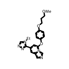 CCn1cnnc1-c1cc(Oc2ccc(OCCCOC)cc2)n2cncc2c1